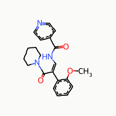 COc1ccccc1C(=CNC(=O)c1ccncc1)C(=O)N1CCCCC1